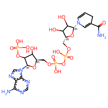 NC(=O)C1=CN([C@@H]2O[C@H](COP(=O)(O)OP(=O)(O)OC[C@H]3O[C@@H](n4cnc5c(N)ncnc54)C(OP(=O)(O)O)C3O)C(O)C2O)C=CC1